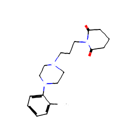 COc1ccccc1N1CCN(CCCN2C(=O)CCCC2=O)CC1.Cl